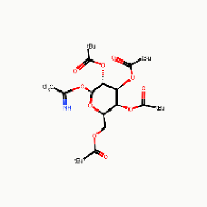 CC(C)(C)C(=O)OC[C@H]1O[C@@H](OC(=N)C(Cl)(Cl)Cl)[C@H](OC(=O)C(C)(C)C)[C@@H](OC(=O)C(C)(C)C)[C@H]1OC(=O)C(C)(C)C